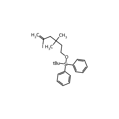 C=C(I)CC(C)(C)CCO[Si](c1ccccc1)(c1ccccc1)C(C)(C)C